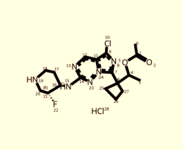 CC(=O)OC(C)C1(c2nc(Cl)c3cnc(N[C@H]4CCNC[C@H]4F)nn23)CCC1.Cl